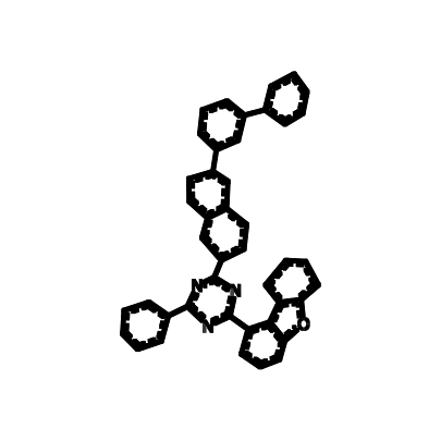 c1ccc(-c2cccc(-c3ccc4cc(-c5nc(-c6ccccc6)nc(-c6cccc7oc8ccccc8c67)n5)ccc4c3)c2)cc1